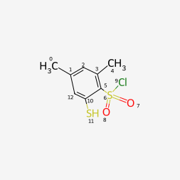 Cc1cc(C)c(S(=O)(=O)Cl)c(S)c1